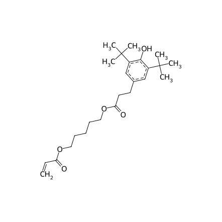 C=CC(=O)OCCCCCOC(=O)CCc1cc(C(C)(C)C)c(O)c(C(C)(C)C)c1